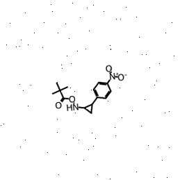 CC(C)(C)C(=O)ONC1CC1c1ccc([N+](=O)[O-])cc1